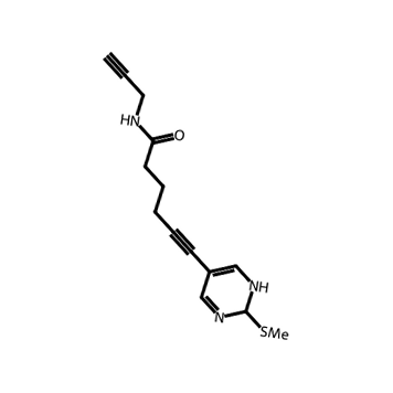 C#CCNC(=O)CCCC#CC1=CNC(SC)N=C1